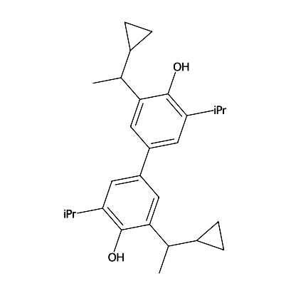 CC(C)c1cc(-c2cc(C(C)C)c(O)c(C(C)C3CC3)c2)cc(C(C)C2CC2)c1O